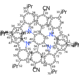 CC(C)c1ccc2c(c1)c1cc(C(C)C)ccc1n2-c1c(-c2ccc(C#N)cc2)c(-n2c3ccc(C(C)C)cc3c3cc(C(C)C)ccc32)c(-n2c3ccc(C(C)C)cc3c3cc(C(C)C)ccc32)c(-c2ccc(C#N)cc2)c1-n1c2ccc(C(C)C)cc2c2cc(C(C)C)ccc21